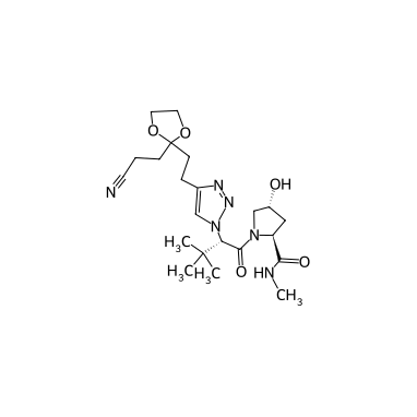 CNC(=O)[C@@H]1C[C@@H](O)CN1C(=O)[C@@H](n1cc(CCC2(CCC#N)OCCO2)nn1)C(C)(C)C